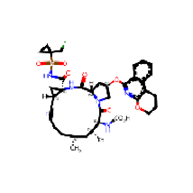 CC[C@@H]1C[C@H](C)CC/C=C\[C@@H]2C[C@@]2(C(=O)NS(=O)(=O)C2(CF)CC2)NC(=O)[C@@H]2C[C@@H](Oc3nc4c(c5ccccc35)CCCO4)CN2C(=O)[C@H]1NC(=O)O